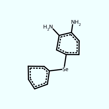 Nc1ccc([Se]c2ccccc2)cc1N